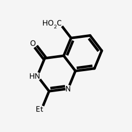 CCc1nc2cccc(C(=O)O)c2c(=O)[nH]1